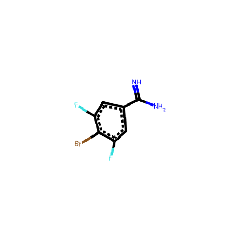 N=C(N)c1cc(F)c(Br)c(F)c1